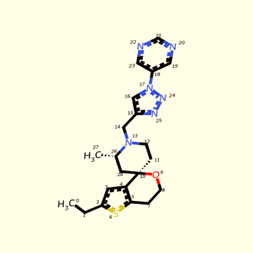 CCc1cc2c(s1)CCO[C@@]21CCN(Cc2cn(-c3cncnc3)nn2)[C@@H](C)C1